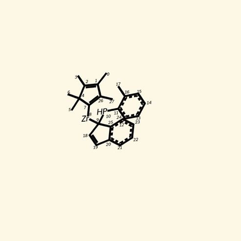 CC1=C(C)C(C)(C)[C]([Zr][C]2(Pc3ccccc3C)C=Cc3ccccc32)=C1C